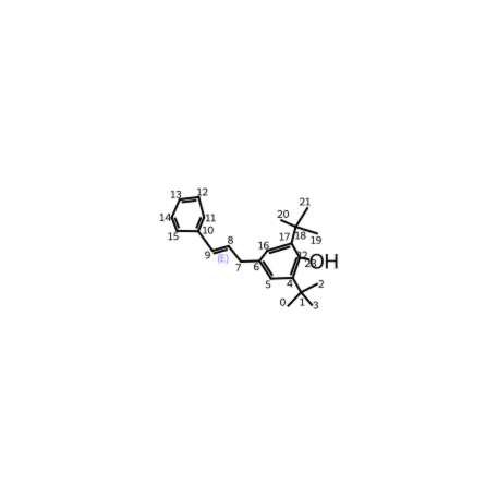 CC(C)(C)c1cc(C/C=C/c2ccccc2)cc(C(C)(C)C)c1O